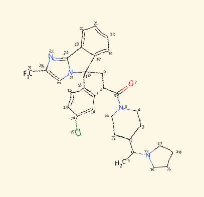 CC(C1CCN(C(=O)CCC2(c3ccc(Cl)cc3)c3ccccc3-c3nc(C(F)(F)F)cn32)CC1)N1CCCC1